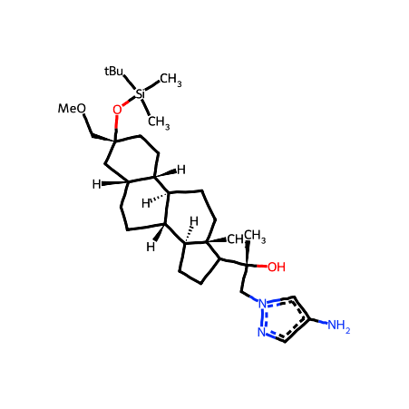 COC[C@@]1(O[Si](C)(C)C(C)(C)C)CC[C@H]2[C@H](CC[C@@H]3[C@@H]2CC[C@]2(C)C([C@](C)(O)Cn4cc(N)cn4)CC[C@@H]32)C1